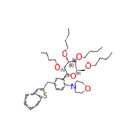 CCCCOC[C@H]1O[C@@H](c2cc(Cc3cc4ccccc4s3)ccc2N2CCOCC2)[C@H](OCCCC)[C@@H](OCCCC)[C@@H]1OCCCC